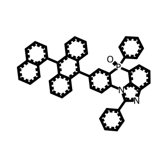 O=P1(c2ccccc2)c2cc(-c3c4ccccc4c(-c4cccc5ccccc45)c4ccccc34)ccc2-n2c(-c3ccccc3)nc3cccc1c32